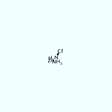 N.[NH2][Cf].[Zn]